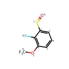 O=[S+]c1cccc(OC(F)(F)F)c1F